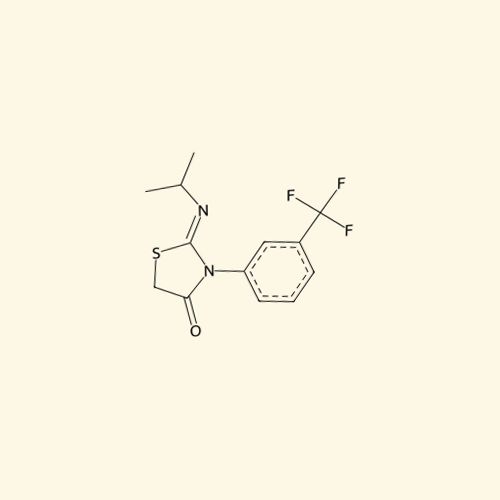 CC(C)N=C1SCC(=O)N1c1cccc(C(F)(F)F)c1